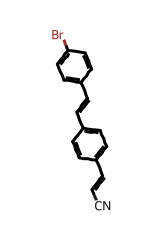 N#CC=Cc1ccc(C=Cc2ccc(Br)cc2)cc1